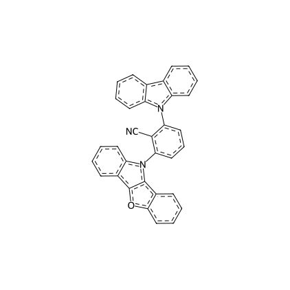 N#Cc1c(-n2c3ccccc3c3ccccc32)cccc1-n1c2ccccc2c2oc3ccccc3c21